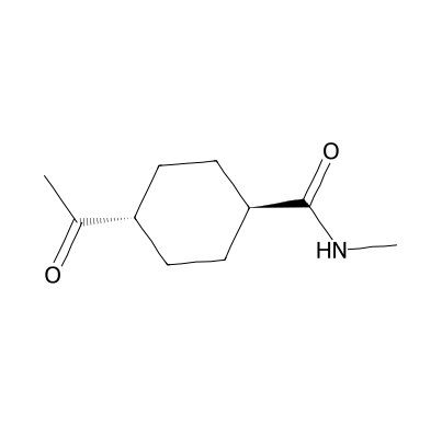 CNC(=O)[C@H]1CC[C@H](C(C)=O)CC1